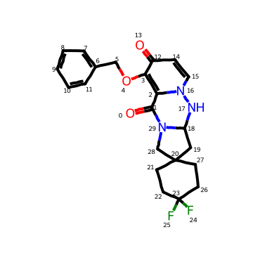 O=C1c2c(OCc3ccccc3)c(=O)ccn2NC2CC3(CCC(F)(F)CC3)CN12